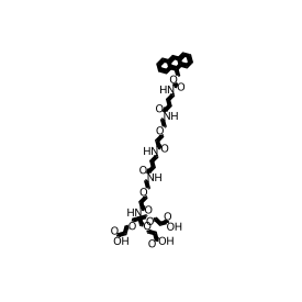 O=C(O)CCOCC(COCCC(=O)O)(COCCC(=O)O)NC(=O)CCOCCNC(=O)CCCNC(=O)CCOCCNC(=O)CCCNC(=O)OCc1c2ccccc2cc2ccccc12